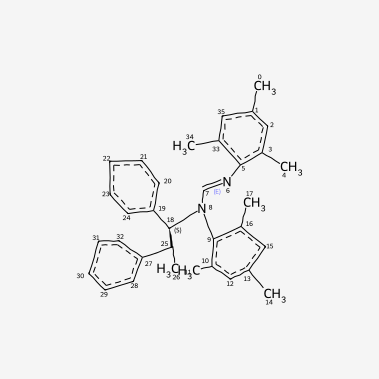 Cc1cc(C)c(/N=C/N(c2c(C)cc(C)cc2C)[C@H](c2ccccc2)C(C)c2ccccc2)c(C)c1